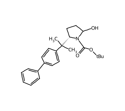 CC(C)(C)OC(=O)N1C(O)CC[C@H]1C(C)(C)c1ccc(-c2ccccc2)cc1